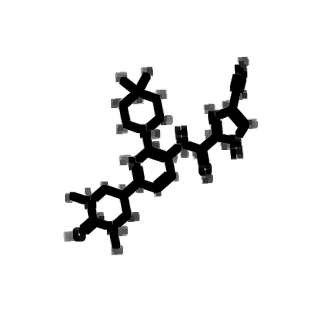 CN1CC(c2ccc(NC(=O)c3nc(C#N)c[nH]3)c(N3CCC(C)(C)CC3)n2)CN(C)C1=O